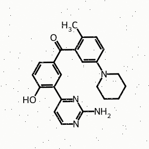 Cc1ccc(N2CCCCC2)cc1C(=O)c1ccc(O)c(-c2ccnc(N)n2)c1